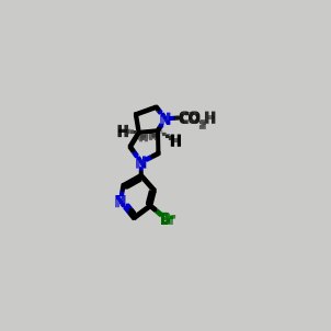 O=C(O)N1CC[C@@H]2CN(c3cncc(Br)c3)C[C@@H]21